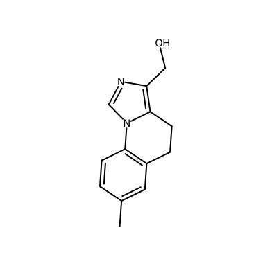 Cc1ccc2c(c1)CCc1c(CO)ncn1-2